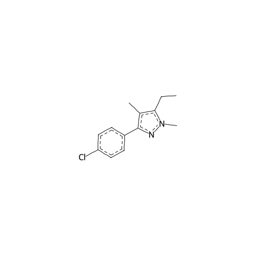 CCc1c(C)c(-c2ccc(Cl)cc2)nn1C